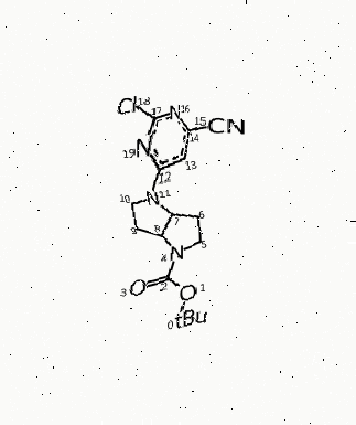 CC(C)(C)OC(=O)N1CCC2C1CCN2c1cc(C#N)nc(Cl)n1